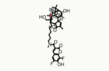 CC1=C[C@H]2[C@@]3(O)[C@H](C)[C@@H](O)[C@]4(OC(=O)N(C)CCCCCCCCN(C)C(=O)c5cc6cc(F)c(O)c(F)c6oc5=O)[C@H]([C@@H]3C=C(CO)C[C@]2(O)C1=O)C4(C)C